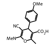 CNC1=C(C#N)C(c2ccc(OC)cc2)C(C(=O)O)=C(C)O1